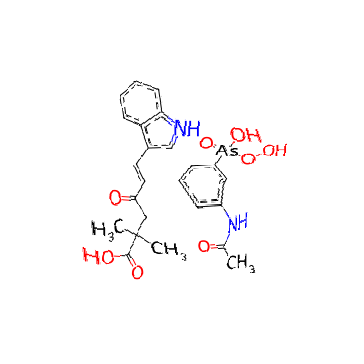 CC(=O)Nc1cccc([As](=O)(O)OO)c1.CC(C)(CC(=O)C=Cc1c[nH]c2ccccc12)C(=O)O